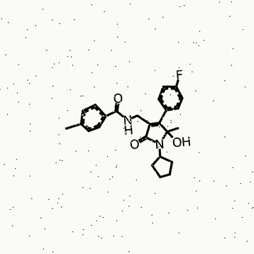 Cc1ccc(C(=O)NCC2=C(c3ccc(F)cc3)C(C)(O)N(C3CCCC3)C2=O)cc1